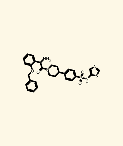 NC(C(=O)N1CCC(c2ccc(S(=O)(=O)Nc3cncs3)cc2)CC1)c1ccccc1OCc1ccccc1